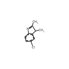 CC1=Nc2ccc(Cl)cc2C1C